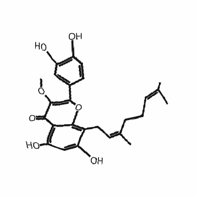 COc1c(-c2ccc(O)c(O)c2)oc2c(CC=C(C)CCC=C(C)C)c(O)cc(O)c2c1=O